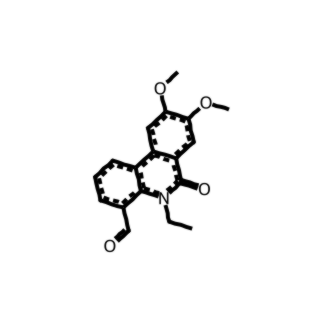 CCn1c(=O)c2cc(OC)c(OC)cc2c2cccc(C=O)c21